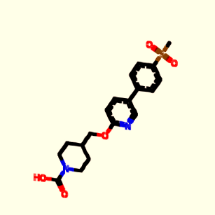 CS(=O)(=O)c1ccc(-c2ccc(OCC3CCN(C(=O)O)CC3)nc2)cc1